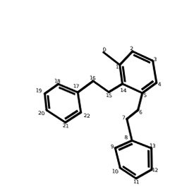 Cc1cccc(CCc2ccccc2)c1CCc1ccccc1